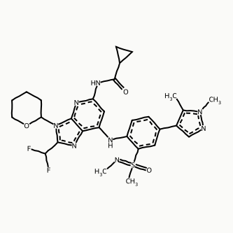 CN=S(C)(=O)c1cc(-c2cnn(C)c2C)ccc1Nc1cc(NC(=O)C2CC2)nc2c1nc(C(F)F)n2C1CCCCO1